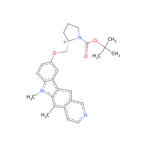 Cc1c2ccncc2cc2c3cc(OC[C@@H]4CCCN4C(=O)OC(C)(C)C)ccc3n(C)c12